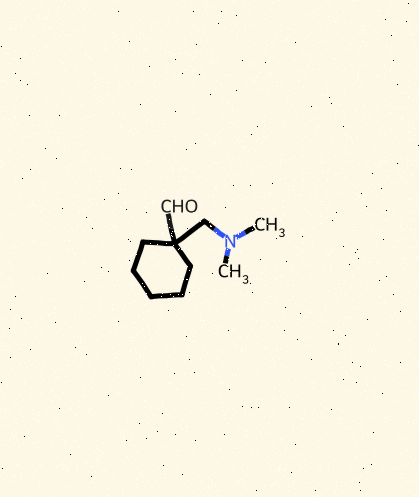 CN(C)CC1(C=O)CCCCC1